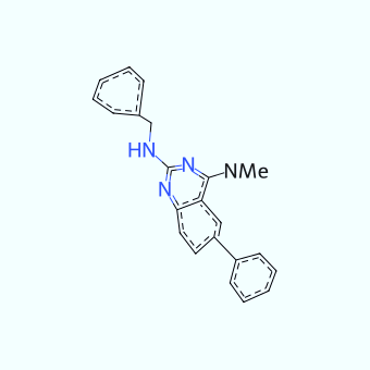 CNc1nc(NCc2ccccc2)nc2ccc(-c3ccccc3)cc12